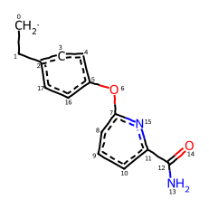 [CH2]Cc1ccc(Oc2cccc(C(N)=O)n2)cc1